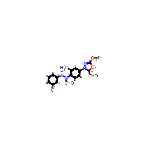 Cc1cc(N2N=C(OC(C)C)OC2C=O)ccc1N(C=O)Nc1cccc(Cl)c1